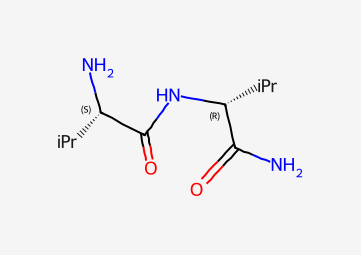 CC(C)[C@H](N)C(=O)N[C@@H](C(N)=O)C(C)C